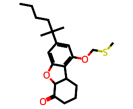 CCCCC(C)(C)c1cc(OCSC)c2c(c1)OC1C(=O)CCCC21